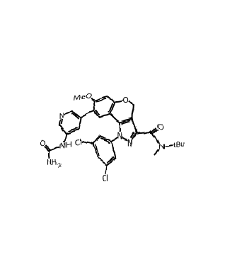 COc1cc2c(cc1-c1cncc(NC(N)=O)c1)-c1c(c(C(=O)N(C)C(C)(C)C)nn1-c1cc(Cl)cc(Cl)c1)CO2